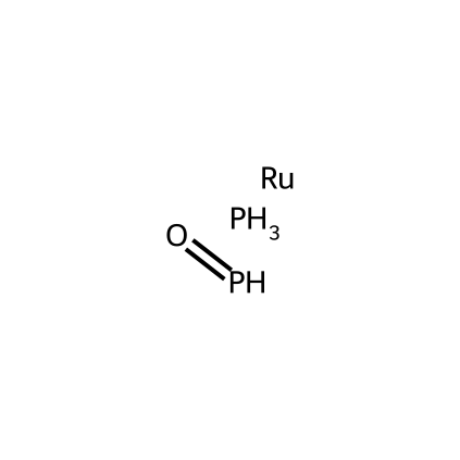 O=P.P.[Ru]